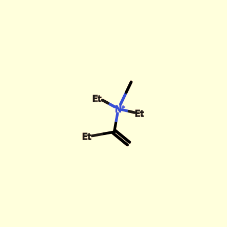 C=C(CC)[N+](C)(CC)CC